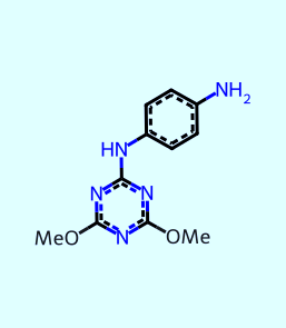 COc1nc(Nc2ccc(N)cc2)nc(OC)n1